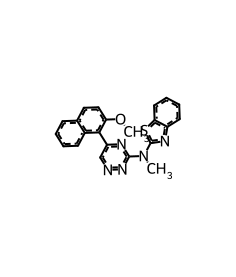 COc1ccc2ccccc2c1-c1cnnc(N(C)c2nc3ccccc3s2)n1